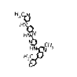 CC1=C(c2ccc3nc(C)cc(Nc4ccc(-c5nc6ccc(Nc7ccnc(C)c7)cc6[nH]5)nc4)c3c2)CCOC1